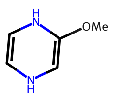 COC1=CNC=CN1